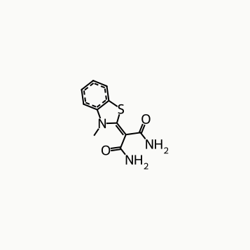 CN1C(=C(C(N)=O)C(N)=O)Sc2ccccc21